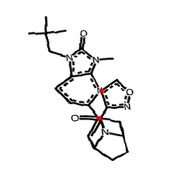 Cn1c(=O)n(CC(C)(C)C)c2ccc(C3=CC4CCC(C3)N4C(=O)c3ccon3)nc21